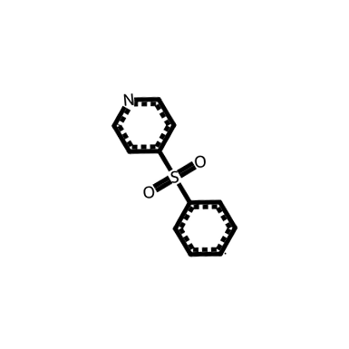 O=S(=O)(c1cc[c]cc1)c1ccncc1